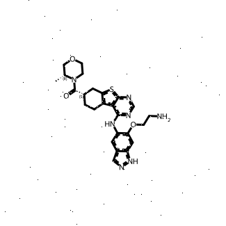 C[C@@H]1COCCN1C(=O)[C@H]1CCc2c(sc3ncnc(Nc4cc5cn[nH]c5cc4OCCN)c23)C1